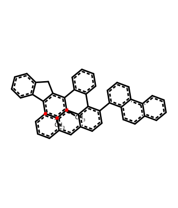 Cc1cc2c(c(-c3ccccc3-c3c(-c4cccc5c4ccc4ccccc45)ccc4cc5ccccc5cc34)c1C)Cc1ccccc1-2